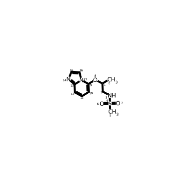 CC(CNS(C)(=O)=O)Oc1cccc2nccn12